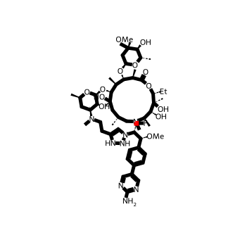 CC[C@H]1OC(=O)[C@H](C)[C@@H](O[C@H]2C[C@@](C)(OC)[C@@H](O)[C@H](C)O2)[C@H](C)[C@@H](O[C@@H]2O[C@H](C)C[C@H](N(C)CCC3=CN([C@H](CF)[C@H](OC)c4ccc(-c5cnc(N)nc5)cc4)NN3)[C@H]2O)[C@](C)(O)C[C@@H](C)CN(C)[C@H](C)[C@@H](O)[C@]1(C)O